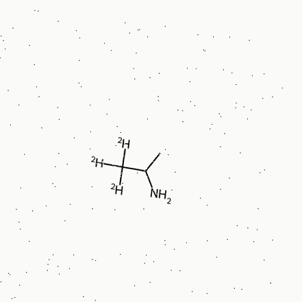 [2H]C([2H])([2H])C(C)N